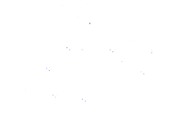 [2H]c1nc(N(C)[C@H]2CN(C(=O)C([2H])([2H])[N+]#[C-])CC[C@H]2C([2H])([2H])[2H])c2cc[nH]c2n1